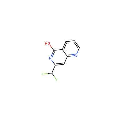 Oc1nc(C(F)F)cc2ncccc12